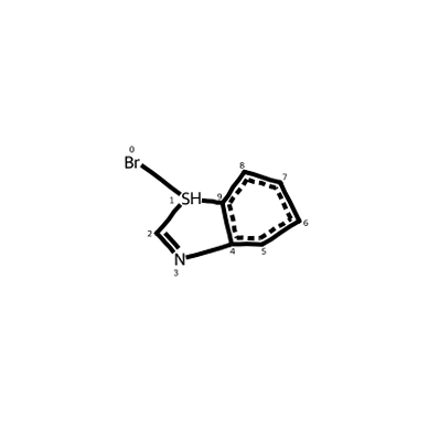 Br[SH]1C=Nc2ccccc21